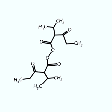 CCC(=O)C(C(=O)OOC(=O)C(C(=O)CC)C(C)C)C(C)C